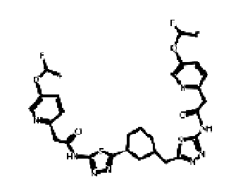 O=C(Cc1ccc(OC(F)F)cn1)Nc1nnc(CC2CCC[C@H](c3nnc(NC(=O)Cc4ccc(OC(F)F)cn4)s3)C2)s1